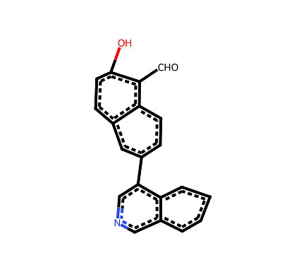 O=Cc1c(O)ccc2cc(-c3cncc4ccccc34)ccc12